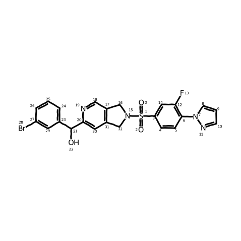 O=S(=O)(c1ccc(-n2cccn2)c(F)c1)N1Cc2cnc(C(O)c3cccc(Br)c3)cc2C1